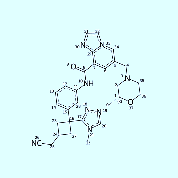 C[C@@H]1CN(Cc2cc(C(=O)Nc3cccc(C4(c5nncn5C)CC(CC#N)C4)c3)c3nccn3c2)CCO1